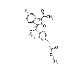 CCOC(=O)CCc1ccc(/C(OC)=C2\C(=O)N(C(C)=O)c3cc(F)ccc32)cc1